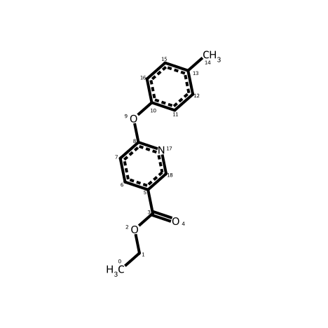 CCOC(=O)c1ccc(Oc2ccc(C)cc2)nc1